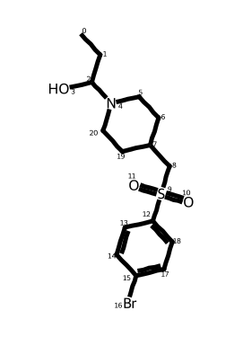 CCC(O)N1CCC(CS(=O)(=O)c2ccc(Br)cc2)CC1